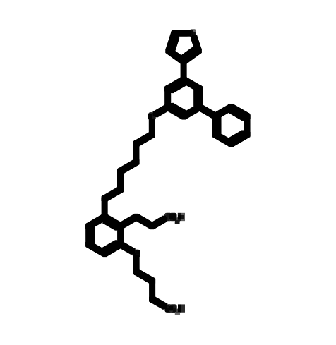 O=C(O)CCCOc1cccc(CCCCCCOc2cc(-c3ccccc3)cc(-c3ccsc3)c2)c1CCC(=O)O